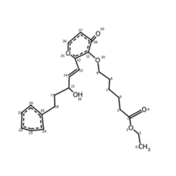 CCOC(=O)CCCCCOc1c(C=CC(O)CCc2ccccc2)occc1=O